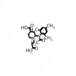 CC(=O)N(c1c(C)cc(C)cc1C)C1CC(C(=O)O)CCN1CCC(=O)O